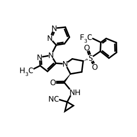 Cc1cc(N2C[C@H](S(=O)(=O)c3ccccc3C(F)(F)F)C[C@H]2C(=O)NC2(C#N)CC2)n(-c2cccnn2)n1